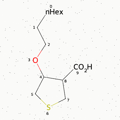 CCCCCCCCOC1CSCC1C(=O)O